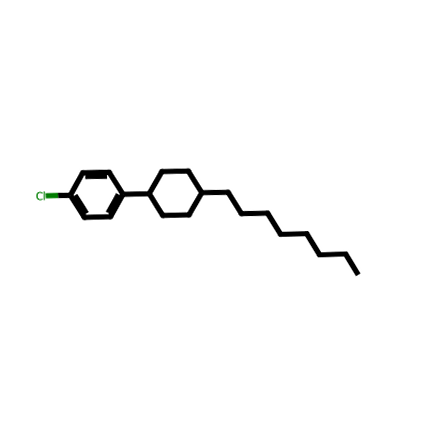 CCCCCCCCC1CCC(c2ccc(Cl)cc2)CC1